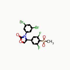 CS(=O)(=O)c1c(F)cc(-c2coc(=O)n2-c2cc(Br)cc(Br)c2)cc1F